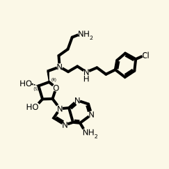 NCCCN(CCNCCc1ccc(Cl)cc1)C[C@H]1OC(n2cnc3c(N)ncnc32)C(O)[C@@H]1O